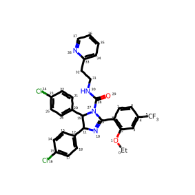 CCOc1cc(C(F)(F)F)ccc1C1=NC(c2ccc(Cl)cc2)C(c2ccc(Cl)cc2)N1C(=O)NCCc1ccccn1